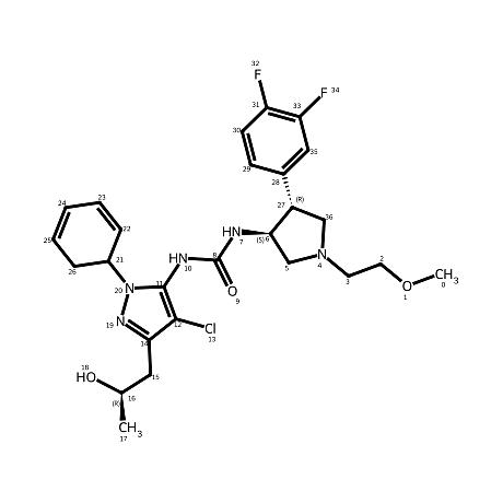 COCCN1C[C@@H](NC(=O)Nc2c(Cl)c(C[C@@H](C)O)nn2C2C=CC=CC2)[C@H](c2ccc(F)c(F)c2)C1